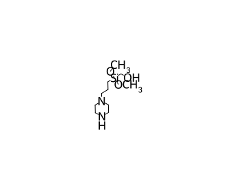 CO[Si](CO)(CCCN1CCNCC1)OC